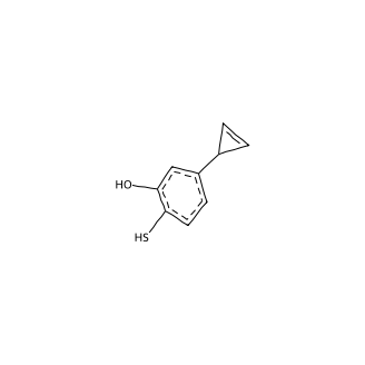 Oc1cc(C2C=C2)ccc1S